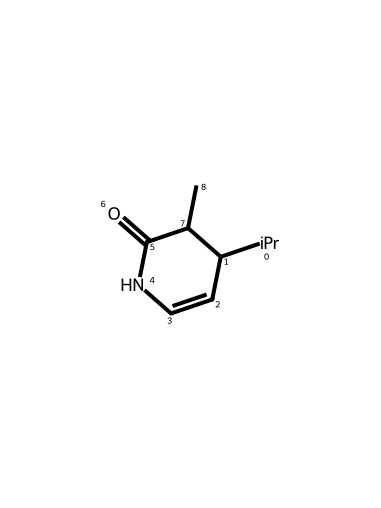 CC(C)C1C=CNC(=O)C1C